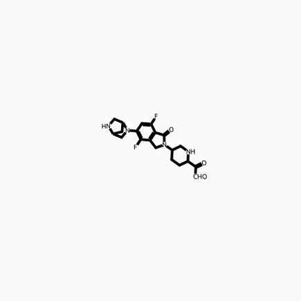 O=CC(=O)C1CCC(N2Cc3c(F)c(N4CC5CC4CN5)cc(F)c3C2=O)CN1